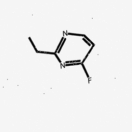 CCc1nccc(F)n1